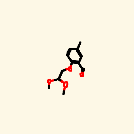 COC(COc1ccc(C)cc1C=O)OC